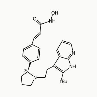 CC(C)(C)c1[nH]c2ncccc2c1CCN1CCC[C@H]1c1ccc(C=CC(=O)NO)cc1